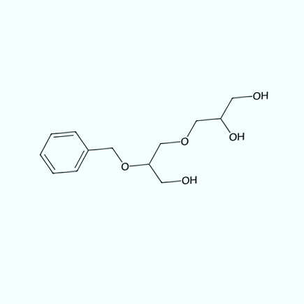 OCC(O)COCC(CO)OCc1ccccc1